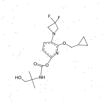 CC(C)(CO)NC(=O)Oc1ccc(N2CC(F)(F)C2)c(OCC2CC2)n1